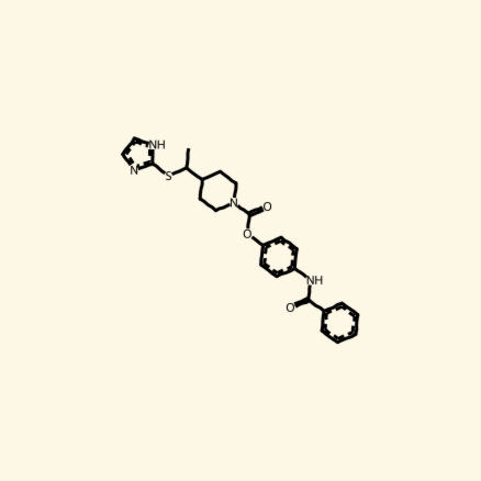 CC(Sc1ncc[nH]1)C1CCN(C(=O)Oc2ccc(NC(=O)c3ccccc3)cc2)CC1